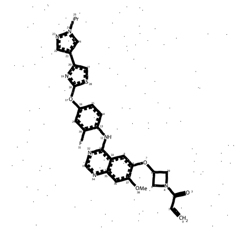 C=CC(=O)N1CC(Oc2cc3c(Nc4ccc(Oc5nc(-c6cnn(C(C)C)c6)cs5)cc4F)ncnc3cc2OC)C1